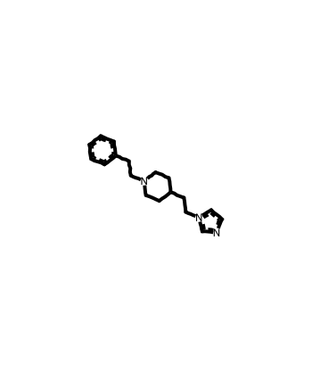 c1ccc(CCN2CCC(CCn3ccnc3)CC2)cc1